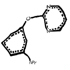 CCCc1cccc(Oc2ncccn2)c1